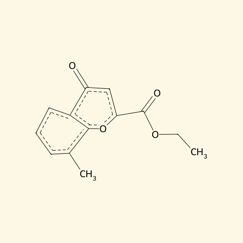 CCOC(=O)c1cc(=O)c2cccc(C)c2o1